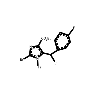 CCOC(=O)c1nc(Br)n(C(C)C)c1C(Cl)c1ccc(F)cc1